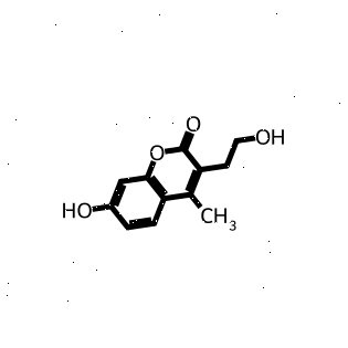 Cc1c(CCO)c(=O)oc2cc(O)ccc12